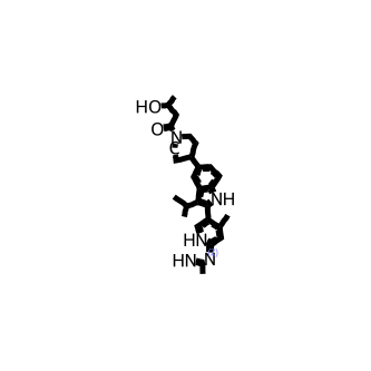 CC(=N)/N=c1/cc(C)c(-c2[nH]c3ccc(C4CCN(C(=O)CC(C)O)CC4)cc3c2C(C)C)c[nH]1